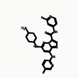 Cc1ccc(Nc2cc(NC3CCC(N)CC3)nn3c(C(=O)Nc4ccnc(F)c4)cnc23)nc1